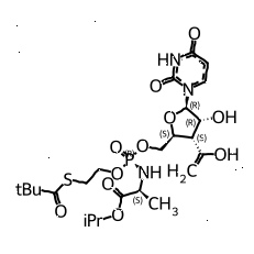 C=C(O)[C@H]1[C@@H](O)[C@H](n2ccc(=O)[nH]c2=O)O[C@@H]1CO[P@](=O)(N[C@@H](C)C(=O)OC(C)C)OCCSC(=O)C(C)(C)C